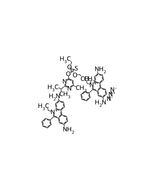 CCOP(=S)(OCC)Oc1cc(C)nc(C(C)C)n1.CC[n+]1c(-c2ccccc2)c2cc(N)ccc2c2ccc(N)cc21.CC[n+]1c(-c2ccccc2)c2cc(N)ccc2c2ccc(N)cc21.[N-]=[N+]=[N-]